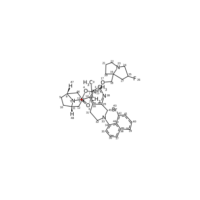 CC(C)(C)OC(=O)N1[C@@H]2CC[C@H]1CN(c1nc(OCC34CCCN3CC(F)C4)nc3c1CCN(c1cccc4cccc(Br)c14)C3)C2